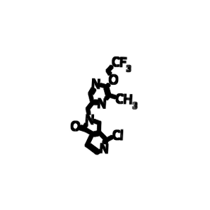 Cc1nc(CN2Cc3c(ccnc3Cl)C2=O)cnc1OCC(F)(F)F